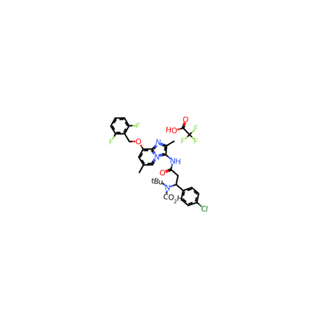 Cc1cc(OCc2c(F)cccc2F)c2nc(C)c(NC(=O)CC(c3ccc(Cl)cc3)N(C(=O)O)C(C)(C)C)n2c1.O=C(O)C(F)(F)F